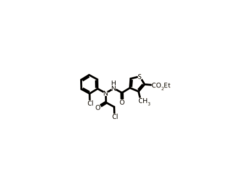 CCOC(=O)c1scc(C(=O)NN(C(=O)CCl)c2ccccc2Cl)c1C